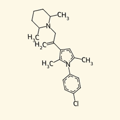 C=C(CN1C(C)CCCC1C)c1cc(C)n(-c2ccc(Cl)cc2)c1C